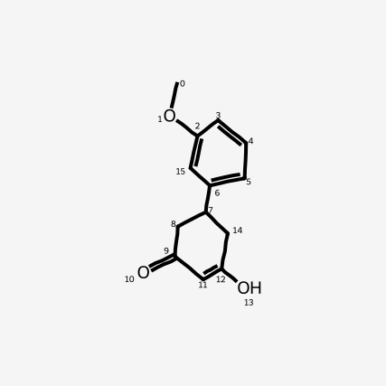 COc1cccc(C2CC(=O)C=C(O)C2)c1